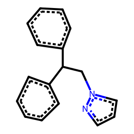 c1ccc(C(Cn2cccn2)c2ccccc2)cc1